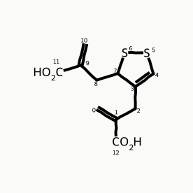 C=C(CC1=CSSC1CC(=C)C(=O)O)C(=O)O